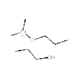 CCCO.CCC[O][SnH]([CH3])[CH3]